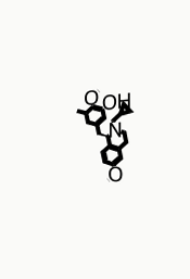 COC1=C(O)C=C(C[C@@H]2c3ccc(OC)cc3CCN2CC2CC2)CC1C